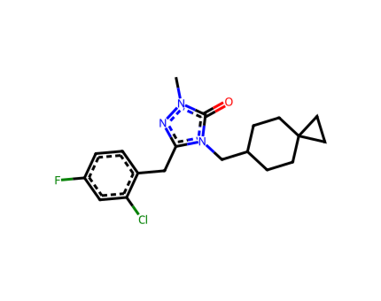 Cn1nc(Cc2ccc(F)cc2Cl)n(CC2CCC3(CC2)CC3)c1=O